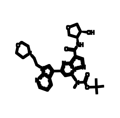 CN(C(=O)OC(C)(C)C)c1cc(-c2cn(CCN3CCOCC3)c3ncccc23)nc2c(C(=O)N[C@H]3COC[C@H]3O)cnn12